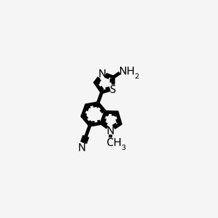 Cn1ccc2c(-c3cnc(N)s3)ccc(C#N)c21